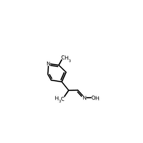 Cc1cc(C(C)C=NO)ccn1